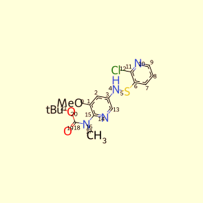 COc1cc(NSc2cccnc2Cl)cnc1N(C)C(=O)OC(C)(C)C